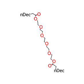 CCCCCCCCCCCC(=O)OCCOCCOCCOCCOCCOC(=O)CCCCCCCCCCC